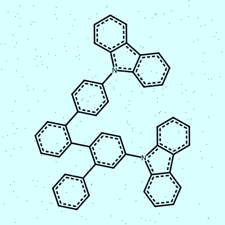 c1ccc(-c2cc(-n3c4ccccc4c4ccccc43)ccc2-c2ccccc2-c2ccc(-n3c4ccccc4c4ccccc43)cc2)cc1